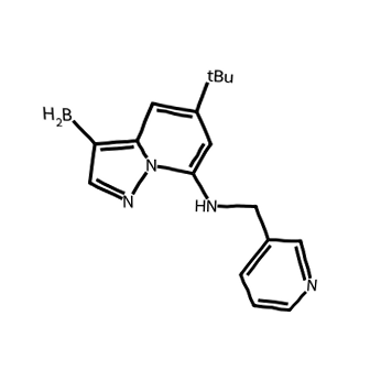 Bc1cnn2c(NCc3cccnc3)cc(C(C)(C)C)cc12